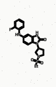 CCS(=O)(=O)N1CCC(n2c(=O)[nH]c3cc(Nc4ccccc4F)ccc32)C1